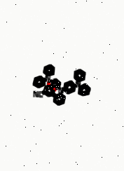 N#Cc1cc(C#N)cc(-c2ccccc2N(c2ccc(N(c3ccccc3)c3ccccc3)cc2)c2ccc(N(c3ccccc3)c3ccccc3)cc2)c1